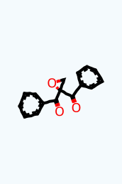 O=C(c1ccccc1)C1(C(=O)c2ccccc2)CO1